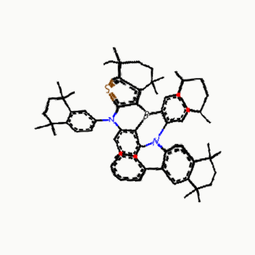 Cc1cc2c3c(c1)N(c1ccc4c(c1)C(C)(C)CCC4(C)C)c1sc4c(c1B3c1cc3c(cc1N2c1cc2c(cc1-c1ccccc1)C(C)(C)CCC2(C)C)C1(C)CCC3(C)CC1)C(C)(C)CCC4(C)C